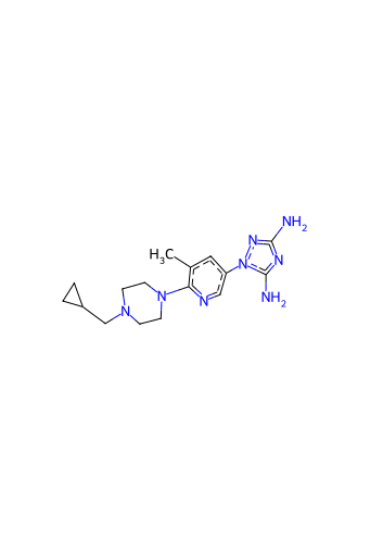 Cc1cc(-n2nc(N)nc2N)cnc1N1CCN(CC2CC2)CC1